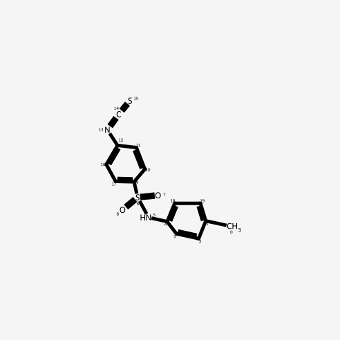 Cc1ccc(NS(=O)(=O)c2ccc(N=C=S)cc2)cc1